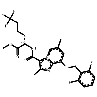 COC(=O)[C@H](CCCC(F)(F)F)NC(=O)c1c(C)nc2c(OCc3c(F)cccc3F)cc(C)cn12